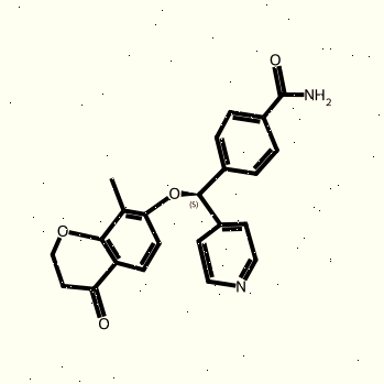 Cc1c(O[C@H](c2ccncc2)c2ccc(C(N)=O)cc2)ccc2c1OCCC2=O